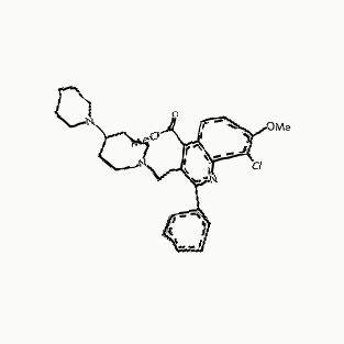 COC(=O)c1c(CN2CCC(N3CCCCC3)CC2)c(-c2ccccc2)nc2c(Cl)c(OC)ccc12